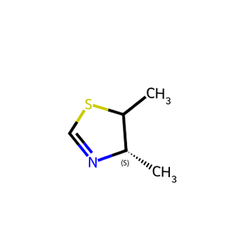 CC1SC=N[C@H]1C